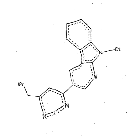 CCn1c2ccccc2c2cc(-c3cc(CC(C)C)ncn3)cnc21